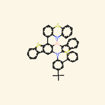 CC(C)(C)c1ccc(N2c3cc4c(sc5ccccc54)c4c3B(c3c2sc2ccccc32)N2c3ccccc3Sc3cccc-4c32)c(-c2ccccc2)c1